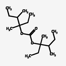 CCC(C)C(C)(CC)OC(=O)OC(C)(CC)C(C)CC